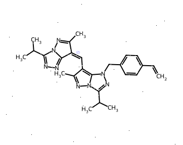 C=Cc1ccc(Cn2nc(C(C)C)n3nc(C)c(/C=c4/c(C)nn5c(C(C)C)nnc45)c23)cc1